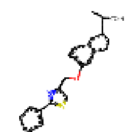 CC(C(=O)O)c1ccc2cc(OCc3csc(-c4ccccc4)n3)ccc2c1